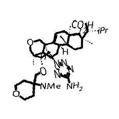 CNC1(CO[C@H]2[C@H](n3nnc(N)n3)C[C@@]34COC[C@@]2(C)[C@@H]3CC[C@H]2C4=CC[C@@]3(C)[C@H](C(=O)O)[C@@](C)([C@H](C)C(C)C)CC[C@]23C)CCOCC1